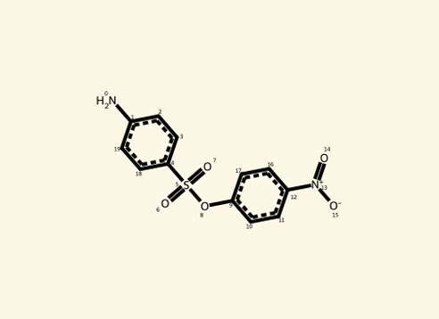 Nc1ccc(S(=O)(=O)Oc2ccc([N+](=O)[O-])cc2)cc1